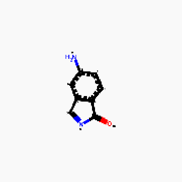 Nc1ccc2c(c1)C=NC2=O